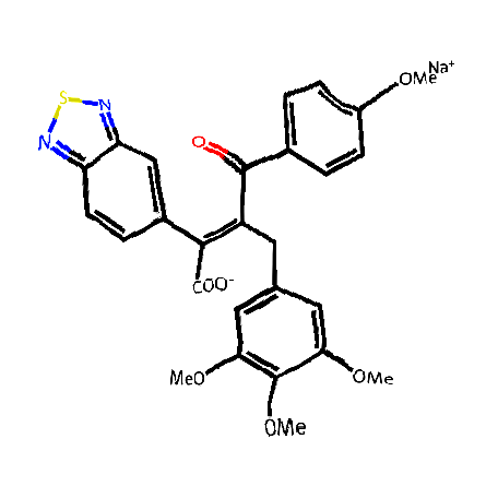 COc1ccc(C(=O)C(Cc2cc(OC)c(OC)c(OC)c2)=C(C(=O)[O-])c2ccc3nsnc3c2)cc1.[Na+]